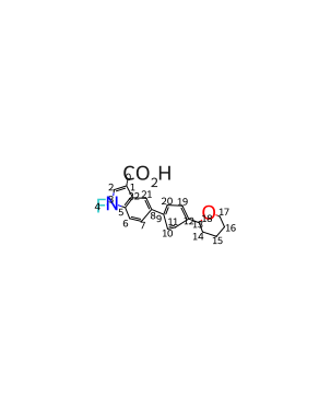 O=C(O)c1cn(F)c2ccc(-c3ccc(C4CCCCO4)cc3)cc12